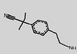 CC(C)(C#N)c1ccc(CCN)cc1